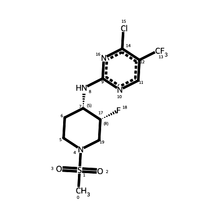 CS(=O)(=O)N1CC[C@H](Nc2ncc(C(F)(F)F)c(Cl)n2)[C@H](F)C1